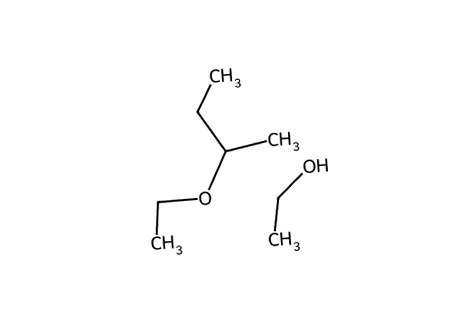 CCO.CCOC(C)CC